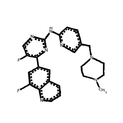 CN1CCN(Cc2ccc(Nc3ncc(F)c(-c4cc(F)c5ncccc5c4)n3)nc2)CC1